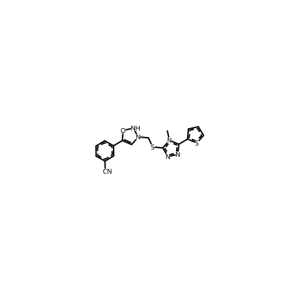 Cn1c(SCN2C=C(c3cccc(C#N)c3)ON2)nnc1-c1cccs1